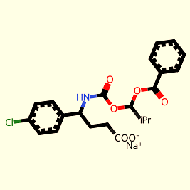 CC(C)C(OC(=O)NC(CCC(=O)[O-])c1ccc(Cl)cc1)OC(=O)c1ccccc1.[Na+]